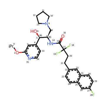 CC(C)Oc1cc([C@@H](O)[C@@H](CN2CCCC2)NC(=O)C(F)(F)CCc2ccc3cc(F)ccc3c2)ccn1